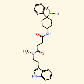 CN(CCc1c[nH]c2ccccc12)C(=O)CCC(=O)NC1CCC(c2ccccc2)(N(C)C)CC1